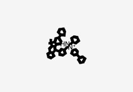 CC1(C)c2cc(-c3ccccc3)ccc2-c2c1cc1ccccc1c2-c1cccc(C2NC(c3ccccc3)=[N+]2c2ccc(-c3ccccc3)cc2)c1